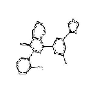 Nc1ccccc1-n1nc(-c2cc(Br)cc(-c3cnco3)c2)c2ccccc2c1=O